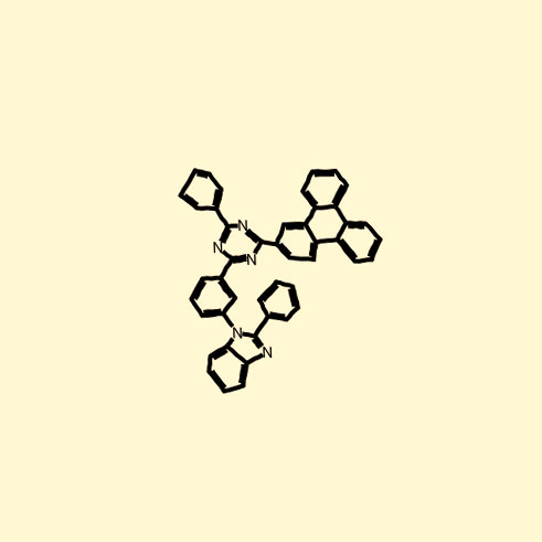 c1ccc(-c2nc(-c3cccc(-n4c(-c5ccccc5)nc5ccccc54)c3)nc(-c3ccc4c5ccccc5c5ccccc5c4c3)n2)cc1